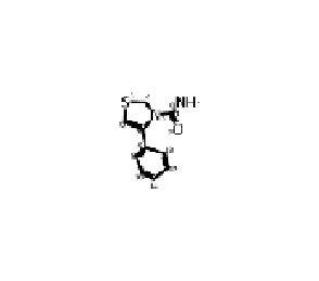 [NH]C(=O)N1CSC=C1c1cc[c]cc1